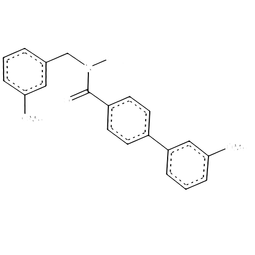 COc1cccc(CN(C)C(=O)c2ccc(-c3cccc(OC)c3)cc2)c1